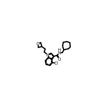 O=C(NCC1CCCCCC1)c1cn(CCC2COC2)c2cccc(Cl)c12